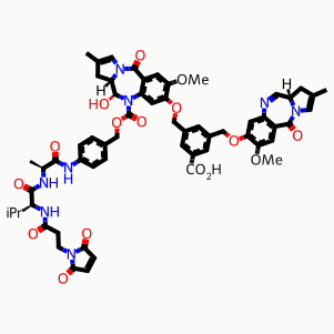 COc1cc2c(cc1OCc1cc(COc3cc4c(cc3OC)C(=O)N3C=C(C)C[C@H]3[C@H](O)N4C(=O)OCc3ccc(NC(=O)[C@H](C)NC(=O)[C@@H](NC(=O)CCN4C(=O)C=CC4=O)C(C)C)cc3)cc(C(=O)O)c1)N=C[C@@H]1CC(C)=CN1C2=O